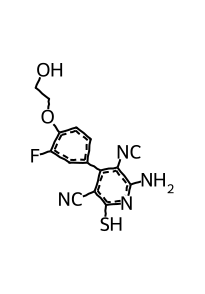 [C-]#[N+]c1c(N)nc(S)c(C#N)c1-c1ccc(OCCO)c(F)c1